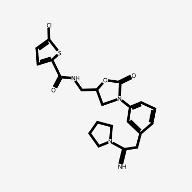 N=C(Cc1cccc(N2CC(CNC(=O)c3ccc(Cl)s3)OC2=O)c1)N1CCCC1